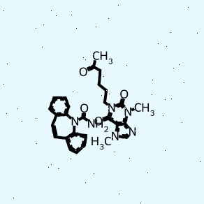 CC(=O)CCCCn1c(=O)c2c(ncn2C)n(C)c1=O.NC(=O)N1c2ccccc2C=Cc2ccccc21